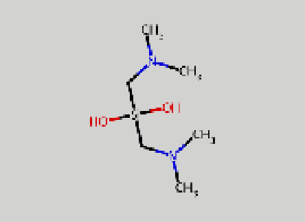 CN(C)C[Si](O)(O)CN(C)C